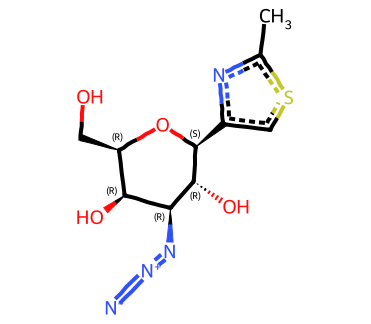 Cc1nc([C@@H]2O[C@H](CO)[C@H](O)[C@H](N=[N+]=[N-])[C@H]2O)cs1